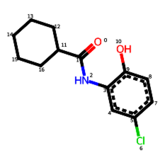 O=C(Nc1cc(Cl)ccc1O)C1CCCCC1